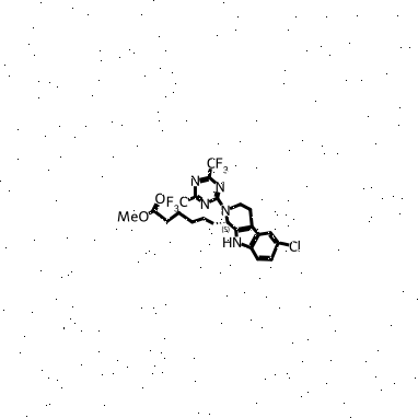 COC(=O)CCCCC[C@H]1c2[nH]c3ccc(Cl)cc3c2CCN1c1nc(C(F)(F)F)nc(C(F)(F)F)n1